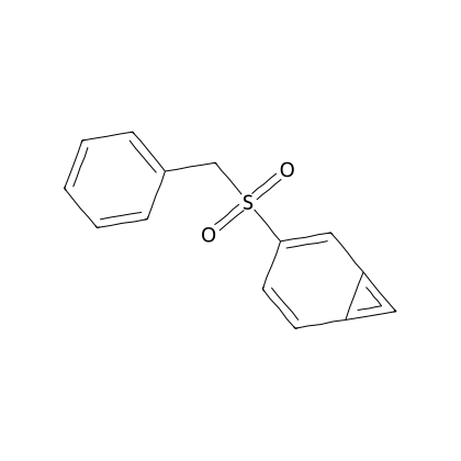 O=S(=O)(Cc1ccccc1)c1ccc2c(c1)=C=2